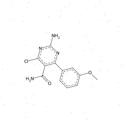 COc1cccc(-c2nc(N)nc(Cl)c2C(N)=O)c1